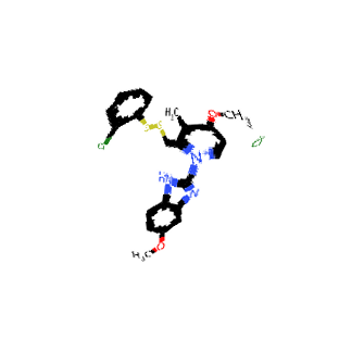 COc1ccc2[nH]c(-[n+]3ccc(OC)c(C)c3CSSc3ccccc3Cl)nc2c1.[Cl-]